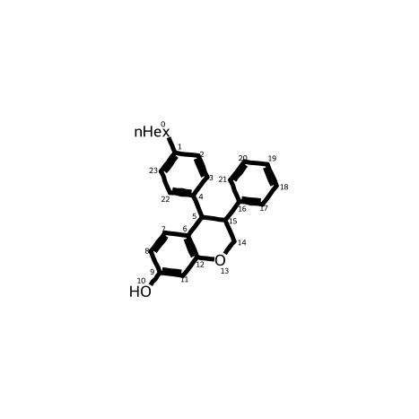 CCCCCCc1ccc(C2c3ccc(O)cc3OCC2c2ccccc2)cc1